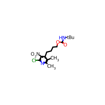 Cc1nc(Cl)c([N+](=O)[O-])c(CCCCOC(=O)NC(C)(C)C)c1C